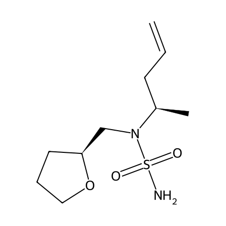 C=CC[C@@H](C)N(C[C@@H]1CCCO1)S(N)(=O)=O